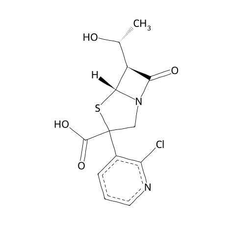 C[C@@H](O)[C@H]1C(=O)N2CC(C(=O)O)(c3cccnc3Cl)S[C@H]12